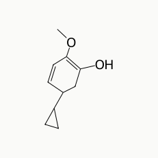 COC1=C(O)CC(C2CC2)C=C1